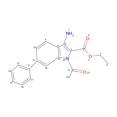 CCOC(=O)c1c(N)c2ccc(-c3ccccc3)cc2n1C(C)=O